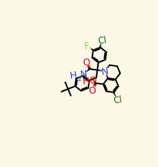 CC(C)(C)c1ccc(CC(C(N)=O)(c2ccc(Cl)c(F)c2)N2CCCc3cc(Cl)cc(C(=O)O)c32)cc1